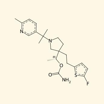 Cc1ccc(C(C)(C)N2CCC(CCc3ccc(F)s3)([C@@H](C)OC(N)=O)C2)cn1